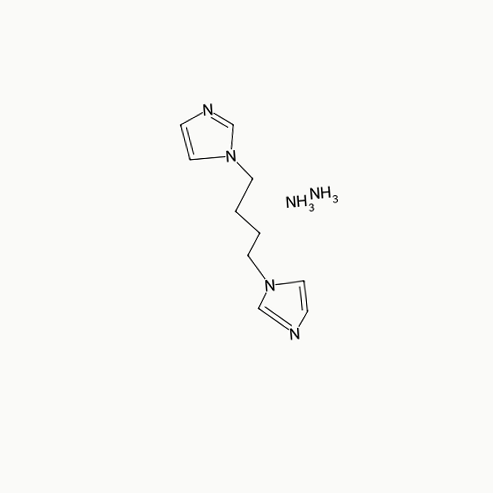 N.N.c1cn(CCCCn2ccnc2)cn1